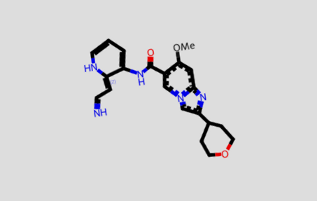 COc1cc2nc(C3CCOCC3)cn2cc1C(=O)NC1=CC=CN/C1=C\C=N